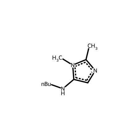 CCCCNc1cnc(C)n1C